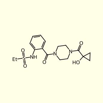 CCS(=O)(=O)Nc1ccccc1C(=O)N1CCN(C(=O)C2(O)CC2)CC1